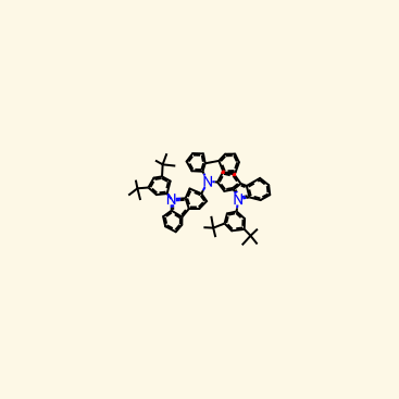 CC(C)(C)c1cc(-n2c3ccccc3c3ccc(N(c4ccc5c6ccccc6n(-c6cc(C(C)(C)C)cc(C(C)(C)C)c6)c5c4)c4ccccc4-c4ccccc4)cc32)cc(C(C)(C)C)c1